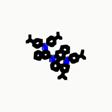 CC(C)c1ccc(N(c2ccc(C(C)C)cc2)c2cc(-n3c4ccccc4c4c(N(c5ccc(C(C)C)cc5)c5ccc(C(C)C)cc5)c5ccccc5cc43)cc3ccccc23)cc1